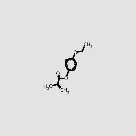 C=C(C)C(=O)Oc1ccc(OCC)cc1